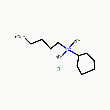 CCCCCCCCCCCCCC[N+](CCC)(CCC)C1CCCCC1.[Cl-]